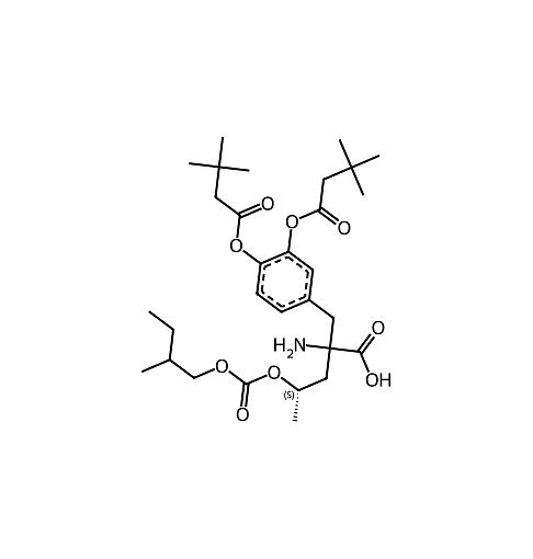 CCC(C)COC(=O)O[C@@H](C)CC(N)(Cc1ccc(OC(=O)CC(C)(C)C)c(OC(=O)CC(C)(C)C)c1)C(=O)O